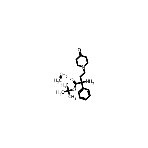 C=C.CC(C)(C)OC(=O)C(N)(CCN1CCC(=O)CC1)c1ccccc1